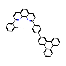 COc1ccccc1-c1ccc2ccc3ccc(-c4ccc(-c5ccc6c7ccccc7c7ccccc7c6c5)cc4)nc3c2n1